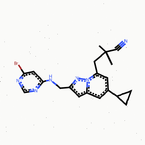 CC(C)(C#N)Cc1cc(C2CC2)cc2cc(CNc3cc(Br)ncn3)nn12